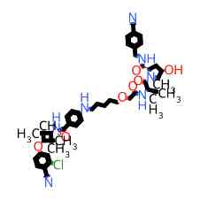 CC(C)(C)C(NC(=O)COCCCCCNc1ccc(C(=O)N[C@H]2C(C)(C)[C@H](Oc3ccc(C#N)c(Cl)c3)C2(C)C)cc1)C(=O)N1C[C@H](O)C[C@H]1C(=O)NCc1ccc(C#N)cc1